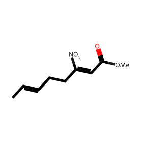 C/C=C/CC/C(=C/C(=O)OC)[N+](=O)[O-]